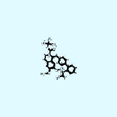 COc1cc2c(cc1OC)C(Cc1ccc(-c3ccccc3NC(C)=O)cc1)N(C(=O)OC(C)(C)C)CC2